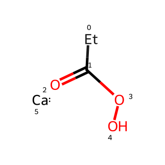 CCC(=O)OO.[Ca]